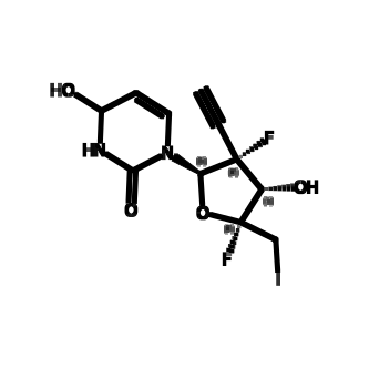 C#C[C@]1(F)[C@H](N2C=CC(O)NC2=O)O[C@](F)(CI)[C@H]1O